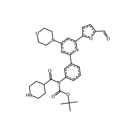 CC(C)(C)OC(=O)N(C(=O)C1CCNCC1)c1cccc(-c2nc(-c3ccc(C=O)o3)cc(N3CCOCC3)n2)c1